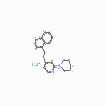 Cl.c1ccc2c(CCc3ccnc(N4CCCCC4)c3)cccc2c1